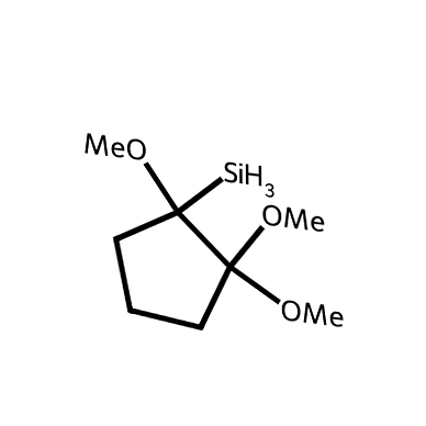 COC1([SiH3])CCCC1(OC)OC